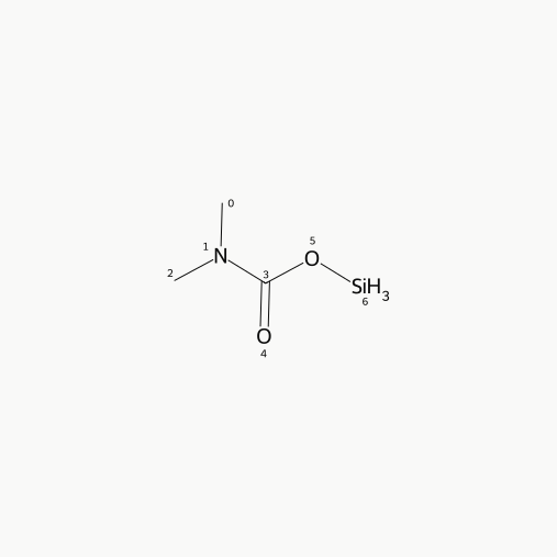 CN(C)C(=O)O[SiH3]